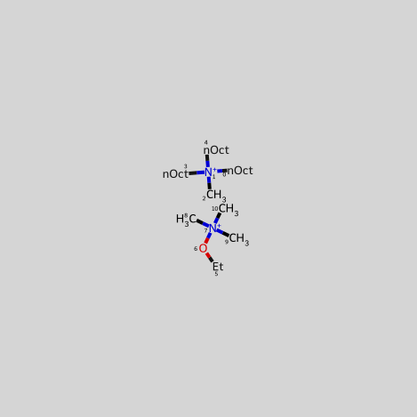 CCCCCCCC[N+](C)(CCCCCCCC)CCCCCCCC.CCO[N+](C)(C)C